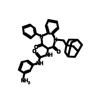 Nc1cccc(NC(=O)NC2C(=O)N(CC34CC5CC(CC(C5)C3)C4)c3ccccc3N(c3ccccc3)C2=O)c1